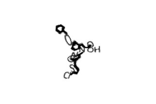 O=C(O)c1cc2cc(OCc3ccccc3)ccc2n1Cc1cc(-c2ccc(Cl)s2)on1